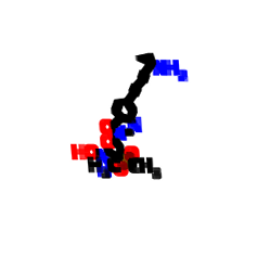 C[C@@](CCn1cnc2cc(C#CC#CC3(N)CC3)ccc2c1=O)(C(=O)NO)S(C)(=O)=O